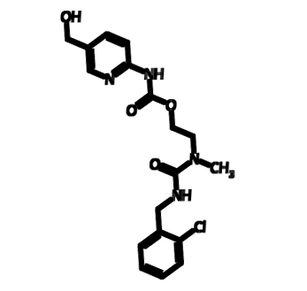 CN(CCOC(=O)Nc1ccc(CO)cn1)C(=O)NCc1ccccc1Cl